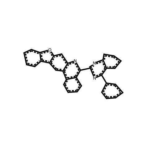 c1ccc(-c2nc(-c3nc4cc5oc6ccccc6c5cc4c4ccccc34)nc3ccccc23)cc1